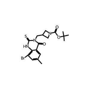 Cc1cc(Br)c2[nH]c(=S)n(CC3CN(C(=O)OC(C)(C)C)C3)c(=O)c2c1